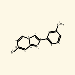 COc1cccc(-c2cn3ccc(Br)cc3n2)c1